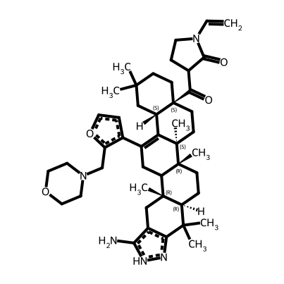 C=CN1CCC(C(=O)[C@]23CCC(C)(C)C[C@H]2C2=C(c4ccoc4CN4CCOCC4)CC4[C@@]5(C)Cc6c(n[nH]c6N)C(C)(C)[C@@H]5CC[C@@]4(C)[C@]2(C)CC3)C1=O